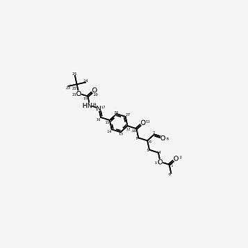 CC(=O)OCCC([C]=O)CC(=O)c1ccc(C=NNC(=O)OC(C)(C)C)cc1